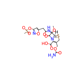 CO[C@@]1(NC(=O)Cc2cc(OS(C)(=O)=O)no2)C(=O)N2C(C(=O)O)=C(COC(N)=O)CS[C@@H]21